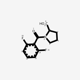 O=C(O)C1CCCN1C(=O)c1c(F)cccc1F